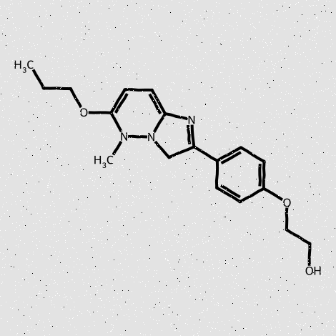 CCCOC1=CC=C2N=C(c3ccc(OCCO)cc3)CN2N1C